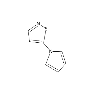 c1ccn(-c2ccns2)c1